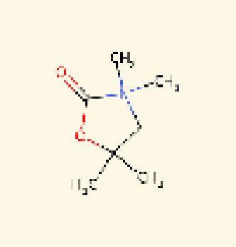 CC1(C)C[N+](C)(C)C(=O)O1